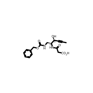 CC#C[C@H](O)[C@H](CNC(=O)OCc1ccccc1)NC(=O)CC(=O)O